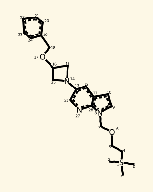 CS(C)(C)CCOCn1ccc2cc(N3CC(OCc4ccccc4)C3)cnc21